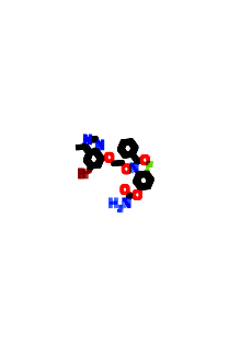 Cc1ncnc2c(OCCON(C(=O)c3ccccc3)c3cc(OC(N)=O)ccc3F)cc(Br)cc12